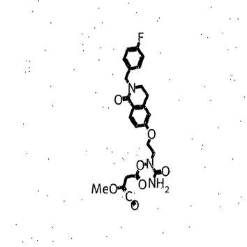 COC(=C=O)CC(=O)ON(CCOc1ccc2c(c1)CCN(Cc1ccc(F)cc1)C2=O)C(N)=O